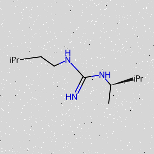 CC(C)CCNC(=N)N[C@H](C)C(C)C